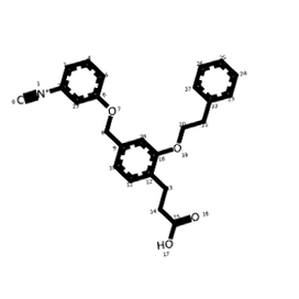 [C-]#[N+]c1cccc(OCc2ccc(CCC(=O)O)c(OCCc3ccccc3)c2)c1